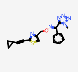 Cn1nnnc1/C(=N/OCc1csc(C#CC2CC2)n1)c1ccccc1